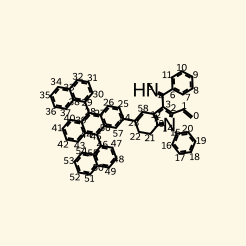 C=Cc1c(C(=N)c2ccccc2)c2c(n1-c1ccccc1)CCC(c1ccc3c(-c4cccc5ccccc45)c4ccccc4c(-c4cccc5ccccc45)c3c1)=C2